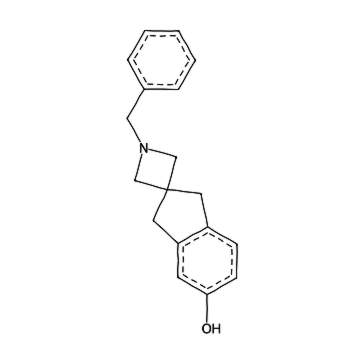 Oc1ccc2c(c1)CC1(C2)CN(Cc2ccccc2)C1